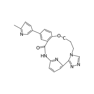 Cc1ccc(-c2ccc3c(c2)C(=O)Nc2cccc(n2)-c2nncn2CCCO3)cn1